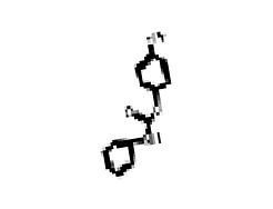 CCCc1ccc(OC(=O)Nc2ccccc2)cc1